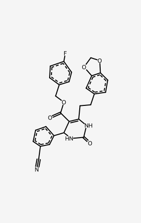 N#Cc1cccc(C2NC(=O)NC(CCc3ccc4c(c3)OCO4)=C2C(=O)OCc2ccc(F)cc2)c1